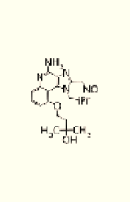 CC(C)Cn1c(CN=O)nc2c(N)nc3cccc(OCCC(C)(C)O)c3c21